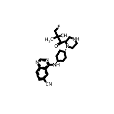 CC(C)(CF)C(=O)C1CNCCN1[C@H]1CC[C@H](Nc2ncnc3ccc(C#N)cc23)CC1